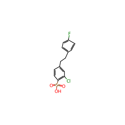 O=S(=O)(O)c1ccc(CCc2ccc(F)cc2)cc1Cl